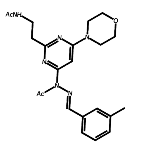 CC(=O)NCCc1nc(N2CCOCC2)cc(N(N=Cc2cccc(C)c2)C(C)=O)n1